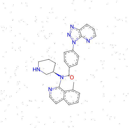 Cc1cccc2ccnc(N(C(=O)c3ccc(-n4nnc5cccnc54)cc3)[C@@H]3CCCNC3)c12